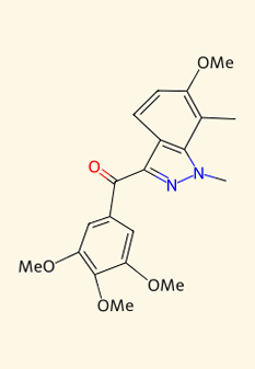 COc1cc(C(=O)c2nn(C)c3c(C)c(OC)ccc23)cc(OC)c1OC